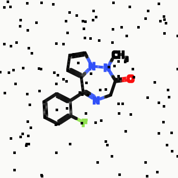 CN1C(=O)CN=C(c2ccccc2F)c2cccn21